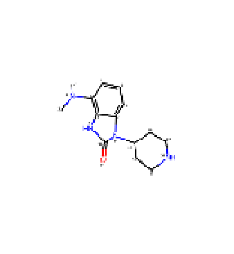 CN(C)c1cccc2c1[nH]c(=O)n2C1CCNCC1